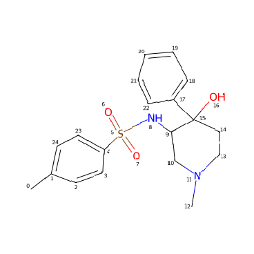 Cc1ccc(S(=O)(=O)NC2CN(C)CCC2(O)c2ccccc2)cc1